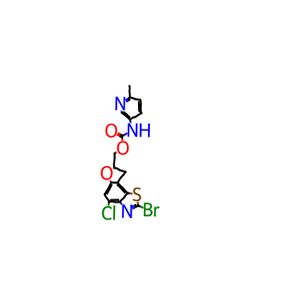 Cc1ccc(NC(=O)OCC2Cc3c(cc(Cl)c4nc(Br)sc34)O2)cn1